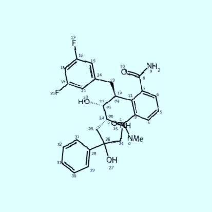 CNC(=O)c1cccc(C(N)=O)c1[C@H](Cc1cc(F)cc(F)c1)[C@@H](O)[C@H]1CC(O)(c2ccccc2)CN1